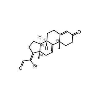 C[C@]12CCC(=O)C=C1CC[C@@H]1C2=CC[C@]2(C)C(=C(Br)C=O)CC[C@@H]12